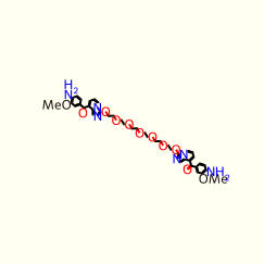 COc1cc(C(=O)c2cccn3c(OCCOCCOCCOCCOCCOCCOc4ncc5c(C(=O)c6ccc(N)c(OC)c6)cccn45)ncc23)ccc1N